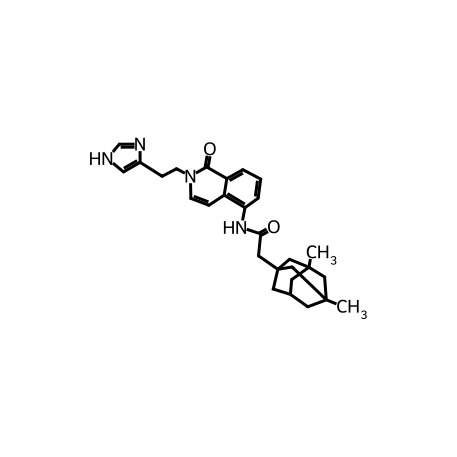 CC12CC3CC(C)(C1)CC(CC(=O)Nc1cccc4c(=O)n(CCc5c[nH]cn5)ccc14)(C3)C2